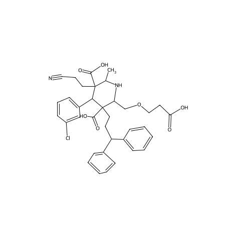 CC1NC(COCCC(=O)O)C(CCC(c2ccccc2)c2ccccc2)(C(=O)O)C(c2cccc(Cl)c2)C1(CCC#N)C(=O)O